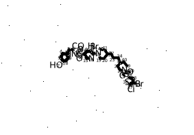 O=C(O)C(Cc1ccc(O)cc1)NS(=O)(=O)c1cnc(N2CCC(CCCC3CCN(S(=O)(=O)c4cc(Br)c(Cl)s4)CC3)CC2)c(Br)c1